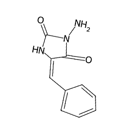 NN1C(=O)NC(=Cc2ccccc2)C1=O